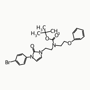 CC(C)(C)OC(=O)N(CCOc1ccccc1)CCn1ccn(-c2ccc(Br)cc2)c1=O